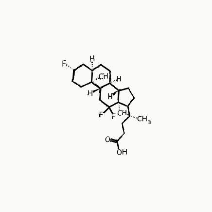 C[C@H](CCC(=O)O)C1CC[C@H]2[C@@H]3CC[C@@H]4C[C@@H](F)CC[C@]4(C)[C@H]3CC(F)(F)[C@]12C